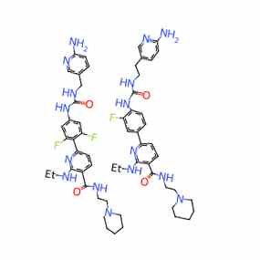 CCNc1nc(-c2c(F)cc(NC(=O)NCc3ccc(N)nc3)cc2F)ccc1C(=O)NCCN1CCCCC1.CCNc1nc(-c2ccc(NC(=O)NCCc3ccc(N)nc3)c(F)c2)ccc1C(=O)NCCN1CCCCC1